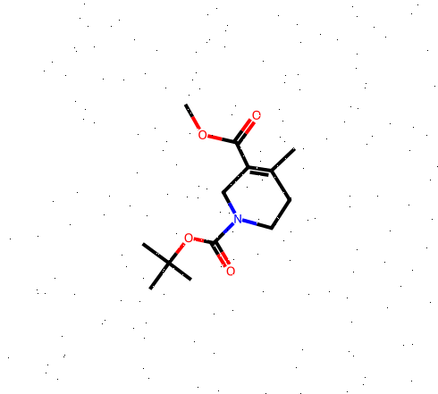 COC(=O)C1=C(C)CCN(C(=O)OC(C)(C)C)C1